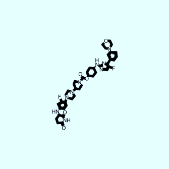 O=C1CCC(Nc2ccc(N3CCN(C4CCN(C(=O)O[C@H]5CC[C@H](Nc6ncc(F)c(-c7cccc(N8CCOCC8)c7)n6)CC5)CC4)CC3)c(F)c2)C(=O)N1